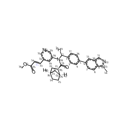 [2H]C(c1ccc(-c2ccc3c(cnn3C)c2)cc1)N(C(=O)[C@@H]1C[C@@H]2CC[C@H]1C2)c1cncc(/C=C/C(=O)OC)c1